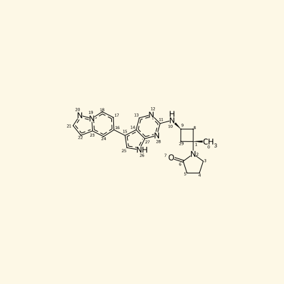 C[C@]1(N2CCCC2=O)C[C@H](Nc2ncc3c(-c4ccn5nccc5c4)c[nH]c3n2)C1